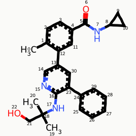 Cc1ccc(C(=O)NC2CC2)cc1-c1cnc(NC(C)(C)CO)c(-c2ccccc2)c1